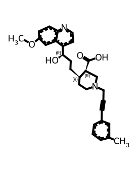 COc1ccc2nccc([C@H](O)CC[C@@H]3CCN(CC#Cc4cccc(C)c4)C[C@@H]3C(=O)O)c2c1